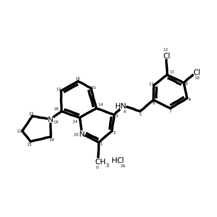 Cc1cc(NCc2ccc(Cl)c(Cl)c2)c2cccc(N3CCCC3)c2n1.Cl